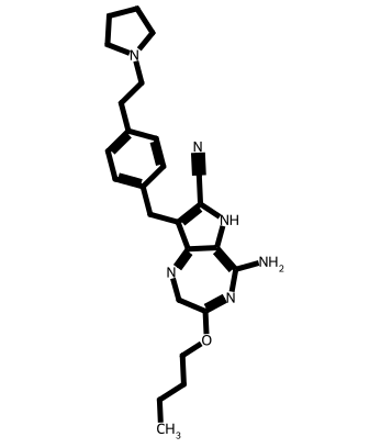 CCCCOC1=NC(N)=c2[nH]c(C#N)c(Cc3ccc(CCN4CCCC4)cc3)c2=NC1